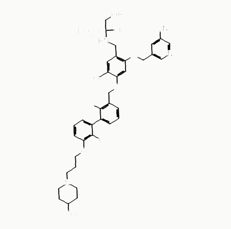 Cc1c(COc2cc(OCc3cncc(C#N)c3)c(CN[C@](C)(CO)C(=O)O)cc2Cl)cccc1-c1cccc(OCCCN2CCC(O)CC2)c1C